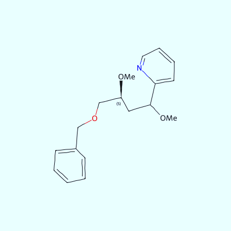 COC(C[C@@H](COCc1ccccc1)OC)c1ccccn1